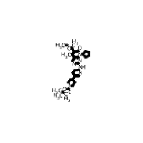 C=C(OCC)c1c(C)c2cnc(Nc3ccc(C4CCN(C(=O)OC(C)(C)C)CC4)cn3)nc2n(C2CCCC2)c1=O